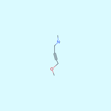 C[N]CC#CCOC